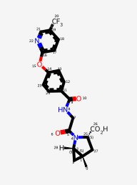 C[C@@]12C[C@@H]1N(C(=O)CNC(=O)c1ccc(Oc3ccc(C(F)(F)F)cn3)cc1)[C@H](C(=O)O)C2